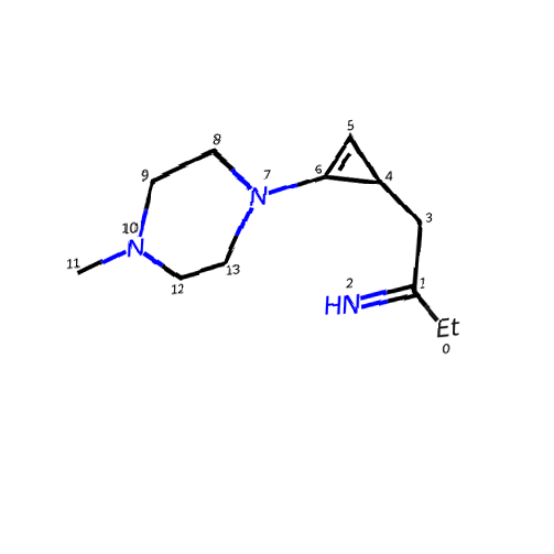 CCC(=N)CC1C=C1N1CCN(C)CC1